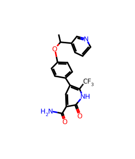 CC(Oc1ccc(-c2cc(C(N)=O)c(=O)[nH]c2C(F)(F)F)cc1)c1cccnc1